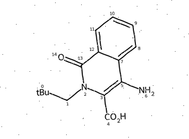 CC(C)(C)Cn1c(C(=O)O)c(N)c2ccccc2c1=O